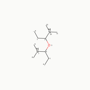 [CH2]CC(OC(C[CH2])[SiH](C)C)[SiH](C)C